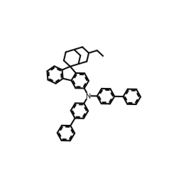 CCC1CC2CCC3(c4ccccc4-c4cc(N(c5ccc(-c6ccccc6)cc5)c5ccc(-c6ccccc6)cc5)ccc43)C(C1)C2